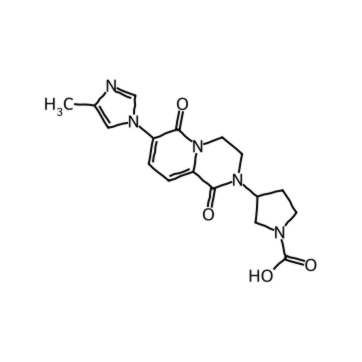 Cc1cn(-c2ccc3n(c2=O)CCN(C2CCN(C(=O)O)C2)C3=O)cn1